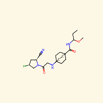 CCC(NC(=O)C12CCC(NCC(=O)N3C[C@@H](F)C[C@H]3C#N)(CC1)CC2)OC